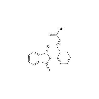 O=C(O)/C=C/c1ccccc1N1C(=O)c2ccccc2C1=O